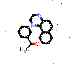 CC(=O)c1ccccc1.c1ccc2c(c1)ccc1nccnc12